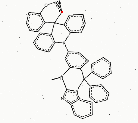 CN1c2cc(N3c4ccccc4C4(c5ccccc5Oc5ccccc54)c4ccccc43)ccc2C(c2ccccc2)(c2ccccc2)n2c1nc1ccccc12